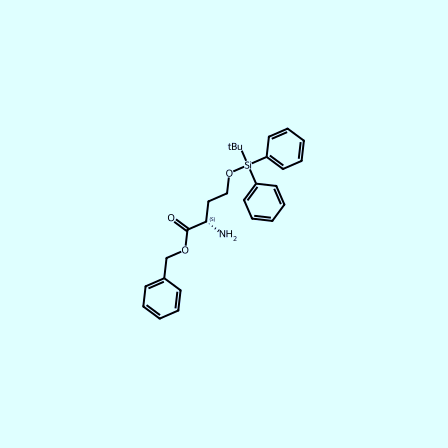 CC(C)(C)[Si](OCC[C@H](N)C(=O)OCc1ccccc1)(c1ccccc1)c1ccccc1